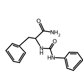 NC(=O)C(Cc1ccccc1)NC(=O)Nc1ccccc1